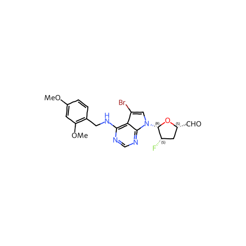 COc1ccc(CNc2ncnc3c2c(Br)cn3[C@@H]2O[C@H](C=O)C[C@@H]2F)c(OC)c1